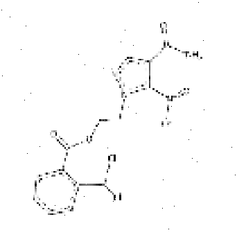 NC(=O)c1cnn(CCOC(=O)c2ccccc2C(Cl)Cl)c1[N+](=O)[O-]